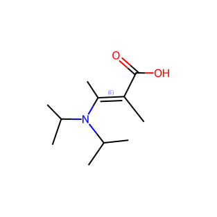 C/C(C(=O)O)=C(/C)N(C(C)C)C(C)C